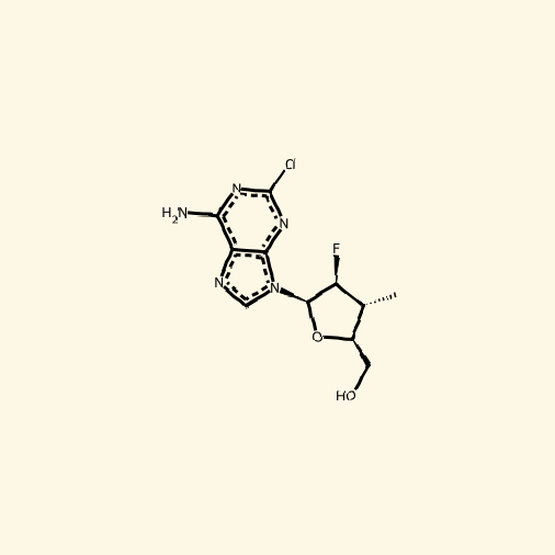 C[C@H]1[C@H](F)[C@H](n2cnc3c(N)nc(Cl)nc32)O[C@@H]1CO